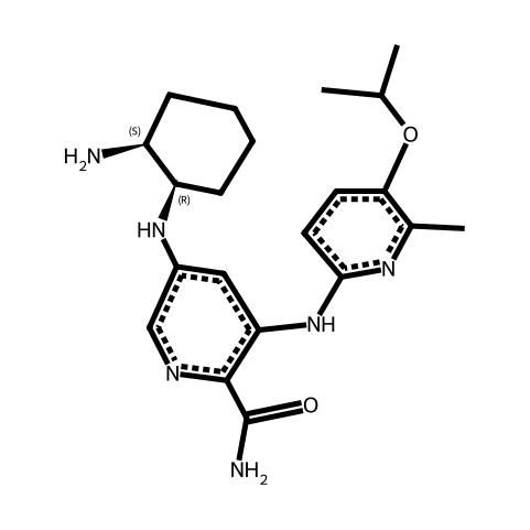 Cc1nc(Nc2cc(N[C@@H]3CCCC[C@@H]3N)cnc2C(N)=O)ccc1OC(C)C